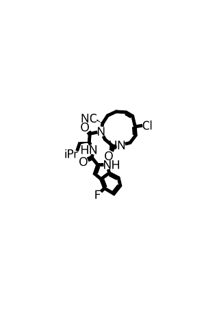 CC(C)C[C@H](NC(=O)c1cc2c(F)cccc2[nH]1)C(=O)N1CC(=O)NC/C=C(Cl)\C=C/CC[C@H]1C#N